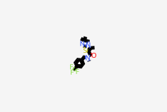 CC1=C(C(=O)N(C)Cc2ccc(C(F)(F)F)cc2)SC2=NC(C)(C)CN21